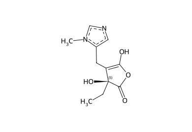 CC[C@@]1(O)C(=O)OC(O)=C1Cc1cncn1C